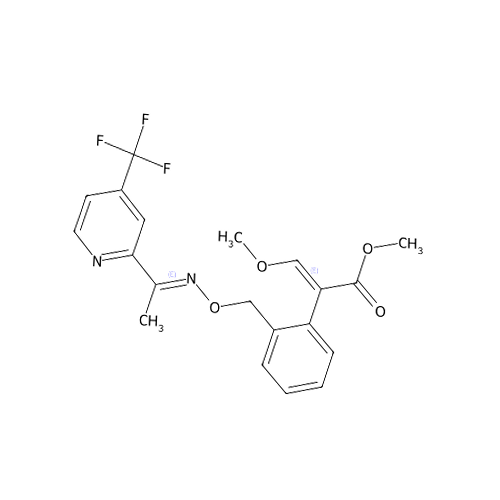 CO/C=C(/C(=O)OC)c1ccccc1CO/N=C(\C)c1cc(C(F)(F)F)ccn1